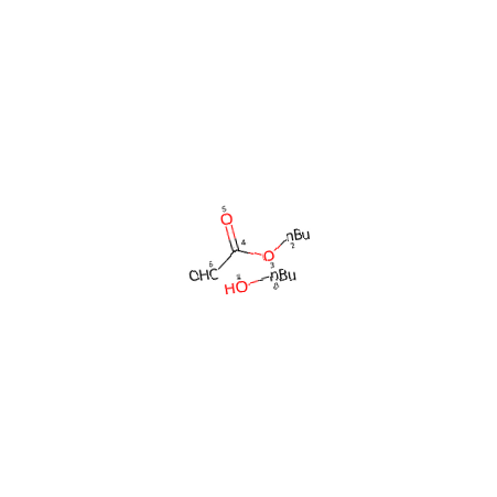 CCCCO.CCCCOC(=O)C=O